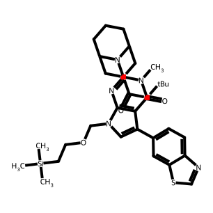 Cn1c(N2C3CCCC2CN(C(=O)OC(C)(C)C)C3)nc2c(c(-c3ccc4ncsc4c3)cn2COCC[Si](C)(C)C)c1=O